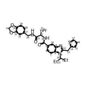 CCCC(NC(=O)c1ccc2c(c1)nc(Cc1cccs1)n2C(CC)CC)C(=O)NCc1ccc2c(c1)OCO2